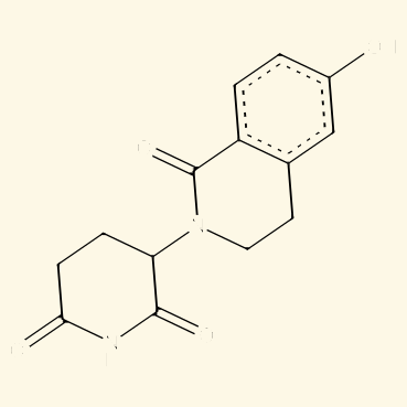 O=C1CCC(N2CCc3cc(O)ccc3C2=O)C(=O)N1